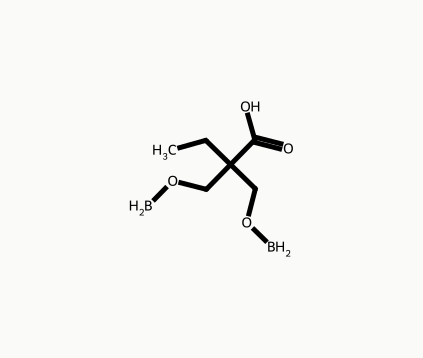 BOCC(CC)(COB)C(=O)O